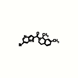 Cc1ccc2c(c1)C(C)N(C(=O)c1cc3ncc(Br)cn3n1)CC2